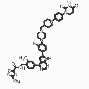 Cc1cc(-c2ncnc3[nH]c(-c4ccc(N5CCN(CC6CCN(c7ccc(N8CCC(=O)NC8=O)cc7)CC6)CC5)c(F)c4)cc23)ccc1CNC(=O)c1nc(C(C)(C)C)no1